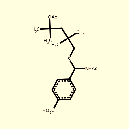 CC(=O)NC(SCC(C)(C)CC(C)(C)OC(C)=O)c1ccc(C(=O)O)cc1